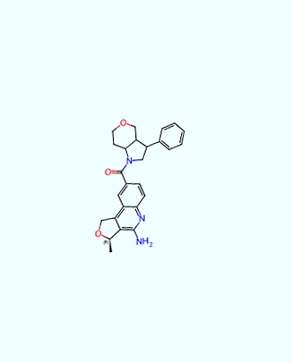 C[C@H]1OCc2c1c(N)nc1ccc(C(=O)N3CC(c4ccccc4)C4COCCC43)cc21